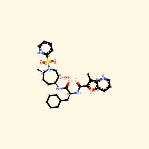 Cc1c(C(=O)N[C@@H](CC2CCCCC2)C(=O)N[C@H]2CC[C@@H](C)N(S(=O)(=O)c3ccccn3)C[C@@H]2O)oc2cccnc12